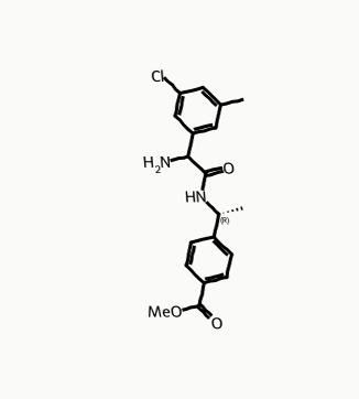 COC(=O)c1ccc([C@@H](C)NC(=O)C(N)c2cc(C)cc(Cl)c2)cc1